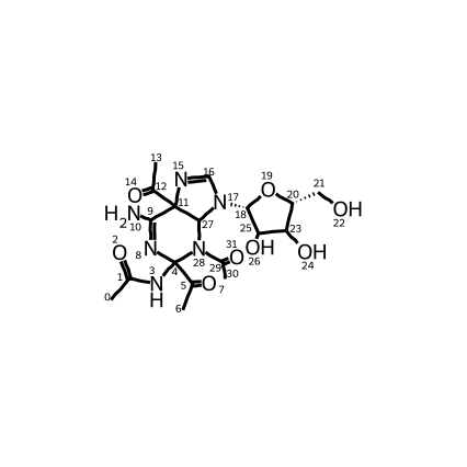 CC(=O)NC1(C(C)=O)N=C(N)C2(C(C)=O)N=CN([C@@H]3O[C@H](CO)C(O)C3O)C2N1C(C)=O